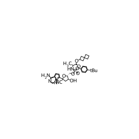 C[C@H](NP(=O)(OC[C@H]1OC(C#N)(c2ccc3c(N)ncnn23)C[C@@H]1O)Oc1ccc(C(C)(C)C)cc1)C(=O)OC1CC2(CCC2)C1